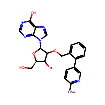 COc1ccc(-c2ccccc2COC2C(O)[C@@H](CO)O[C@H]2n2cnc3c(O)ncnc32)cn1